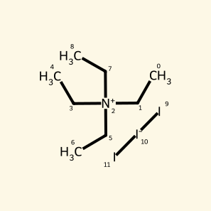 CC[N+](CC)(CC)CC.I[I-]I